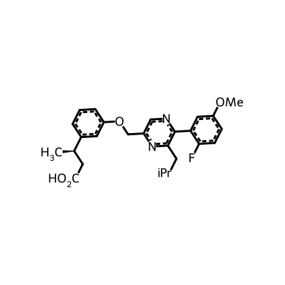 COc1ccc(F)c(-c2ncc(COc3cccc([C@H](C)CC(=O)O)c3)nc2CC(C)C)c1